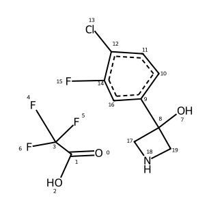 O=C(O)C(F)(F)F.OC1(c2ccc(Cl)c(F)c2)CNC1